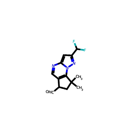 CC1(C)CC(C=O)c2cnc3cc(C(F)F)nn3c21